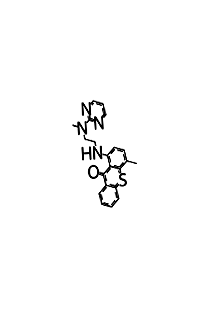 Cc1ccc(NCCN(C)c2ncccn2)c2c(=O)c3ccccc3sc12